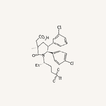 CC[C@@H](CCS(=O)(=O)CC)N1C(=O)[C@@](C)(CC(=O)O)CC(c2cccc(Cl)c2)[C@H]1c1ccc(Cl)cc1